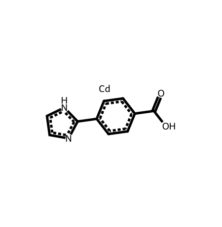 O=C(O)c1ccc(-c2ncc[nH]2)cc1.[Cd]